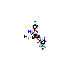 CCC(NC(=O)c1ccc(Cl)cc1)[C@H]1C2C[C@@H](NC(=O)c3cc(C(F)(F)F)ccn3)C[C@@H]21